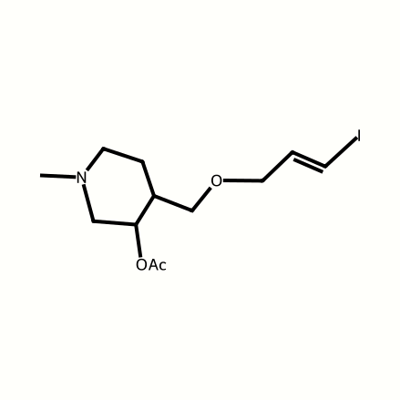 CC(=O)OC1CN(C)CCC1COCC=CI